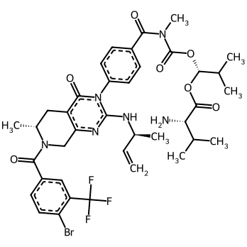 C=C[C@H](C)Nc1nc2c(c(=O)n1-c1ccc(C(=O)N(C)C(=O)O[C@@H](OC(=O)[C@@H](N)C(C)C)C(C)C)cc1)C[C@@H](C)N(C(=O)c1ccc(Br)c(C(F)(F)F)c1)C2